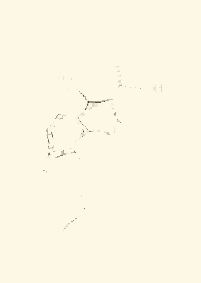 CCCCc1c(Cl)ccc2c(N)c(C(=O)O)nnc12